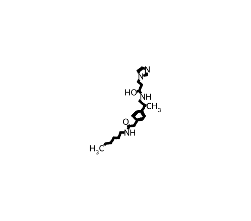 CCCCCCNC(=O)Cc1ccc(C(C)CNC(O)CCn2ccnc2)cc1